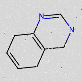 C1=CCC2=C(C1)C[N]C=N2